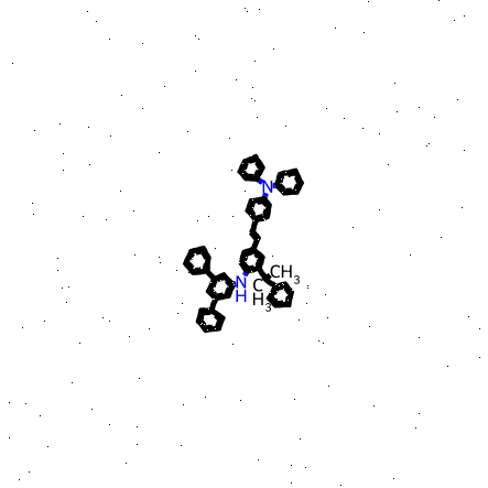 CC(C)(c1ccccc1)c1cc(/C=C/c2ccc(N(c3ccccc3)c3ccccc3)cc2)ccc1Nc1cc(-c2ccccc2)cc(-c2ccccc2)c1